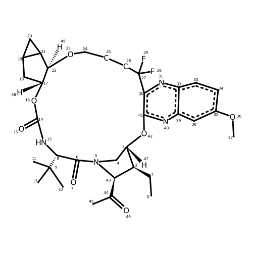 CC[C@@H]1[C@@H]2CN(C(=O)[C@H](C(C)(C)C)NC(=O)O[C@@H]3CC4CC4[C@H]3OCCCC(F)(F)c3nc4ccc(OC)cc4nc3O2)[C@@H]1C(C)=O